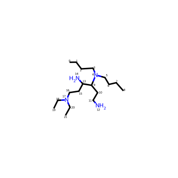 CCCCN(CCCC)C(CCN)C(N)CCN(CC)CC